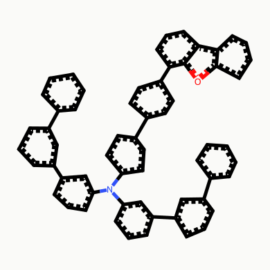 c1ccc(-c2cccc(-c3cccc(N(c4ccc(-c5ccc(-c6cccc7c6oc6ccccc67)cc5)cc4)c4cccc(-c5cccc(-c6ccccc6)c5)c4)c3)c2)cc1